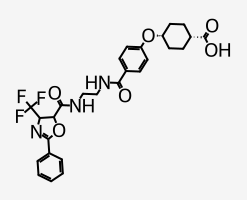 O=C(NCCNC(=O)C1OC(c2ccccc2)=NC1C(F)(F)F)c1ccc(O[C@H]2CC[C@@H](C(=O)O)CC2)cc1